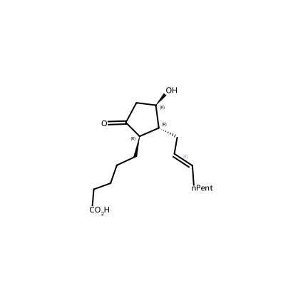 CCCCC/C=C/C[C@H]1[C@H](O)CC(=O)[C@@H]1CCCCC(=O)O